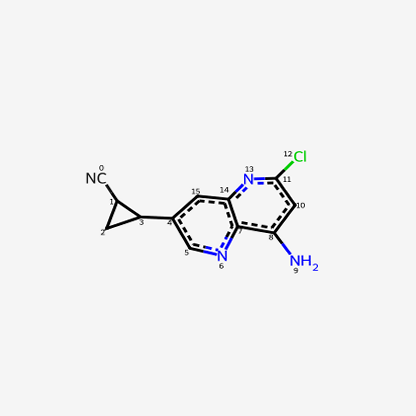 N#CC1CC1c1cnc2c(N)cc(Cl)nc2c1